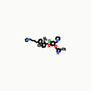 Cc1c(CCCCN2CCCC2)cccc1-c1cccc(COc2cc(OCc3cncc(C#N)c3)c(CN3CCCCC3)cc2Cl)c1C